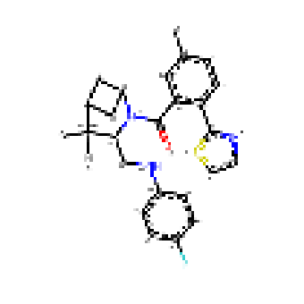 Cc1ccc(-c2nccs2)c(C(=O)N2C3CC(C3)[C@@H](C)C2CNc2ccc(F)cc2)c1